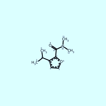 CC(C)c1ccoc1C(=O)N(C)C